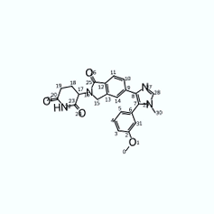 COc1cccc(-c2c(-c3ccc4c(c3)CN(C3CCC(=O)NC3=O)C4=O)ncn2C)c1